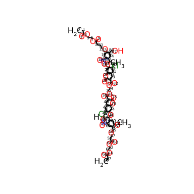 C=CC(=O)OCCOC(=O)CCCOc1cc([N+](=O)[O-])c(C(C)Oc2cc3oc(=O)c(C(=O)OCCOC(=O)c4cc5cc(Cl)c(OC(C)c6cc(OC)c(COCCC(=O)OCCOC(=O)C=C)cc6[N+](=O)[O-])cc5oc4=O)cc3cc2Cl)cc1CO